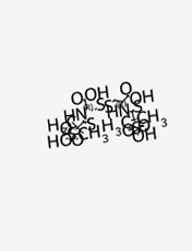 CC(C)(C(=S)N[C@@H](CSSC[C@H](NC(=S)C(C)(C)S(=O)(=O)O)C(=O)O)C(=O)O)S(=O)(=O)O